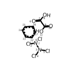 ClN(Cl)N(Cl)Cl.O=C(O)C(=O)O.c1ccccc1